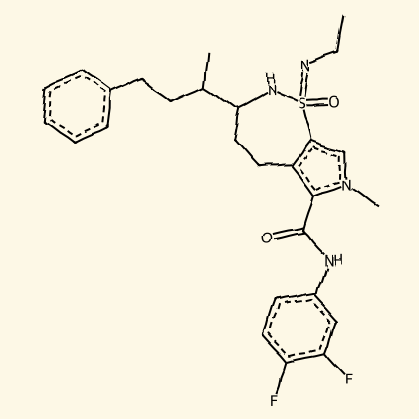 CCN=S1(=O)NC(C(C)CCc2ccccc2)CCc2c1cn(C)c2C(=O)Nc1ccc(F)c(F)c1